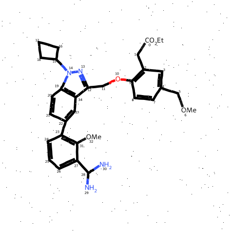 CCOC(=O)Cc1cc(COC)ccc1OCc1nn(C2CCC2)c2ccc(-c3cccc(C(N)N)c3OC)cc12